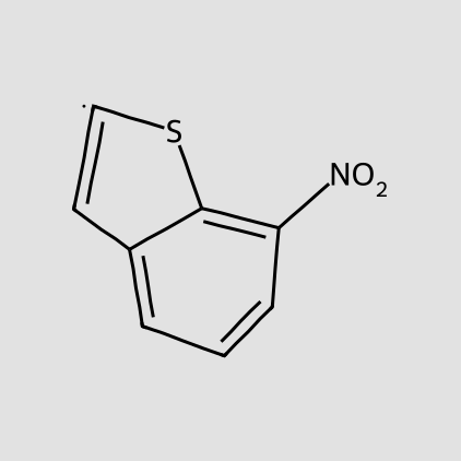 O=[N+]([O-])c1cccc2c[c]sc12